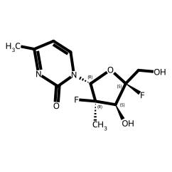 Cc1ccn([C@@H]2O[C@](F)(CO)[C@@H](O)[C@@]2(C)F)c(=O)n1